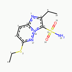 CCSc1ccc2nc(CC)c(S(N)(=O)=O)n2n1